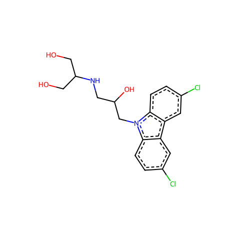 OCC(CO)NCC(O)Cn1c2ccc(Cl)cc2c2cc(Cl)ccc21